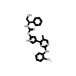 Cc1cnc(Nc2ccccc2C(F)(F)F)nc1-c1c[nH]c(OC(=O)NC(CO)c2ccccc2)c1